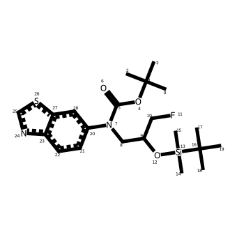 CC(C)(C)OC(=O)N(CC(CF)O[Si](C)(C)C(C)(C)C)c1ccc2ncsc2c1